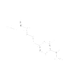 COC(=O)c1ccc(OCCNC(=O)OC(C)(C)C)cc1C